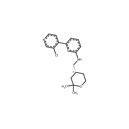 CC1(C)C[C@H](CNc2cccc(-c3ccncc3Cl)n2)CCO1